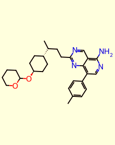 Cc1ccc(-c2cnc(N)c3cnc(CCC(C)[C@H]4CC[C@H](OC5CCCCO5)CC4)nc23)cc1